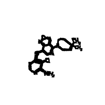 CC1(C)CCN(c2ncc(Sc3ccnc(N)c3Cl)c3nonc23)CC1